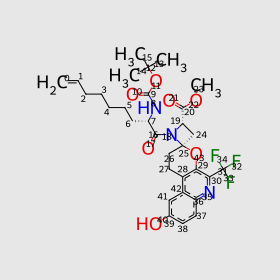 C=CCCCCC[C@H](NC(=O)OC(C)(C)C)C(=O)N1[C@H](C(=O)OC)C[C@]12CCc1c(c(C(F)(F)F)nc3ccc(O)cc13)O2